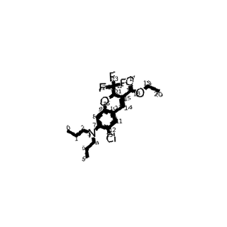 CCCN(CCC)c1cc2c(cc1Cl)C=C(C(=O)OCC)C(C(F)(F)F)O2